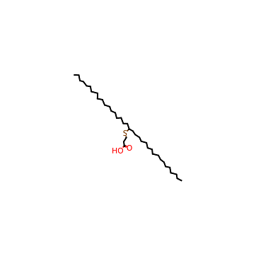 CCCCCCCCCCCCCCCCCCC(CCCCCCCCCCCCCCCCC)SCCC(=O)O